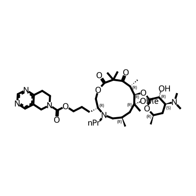 CCCN1C[C@H](C)C[C@@](C)(OC)[C@H](O[C@@H]2O[C@H](C)C[C@H](N(C)C)[C@H]2O)[C@@H](C)C(=O)C(C)(C)C(=O)OC[C@H]1CCCOC(=O)N1CCc2ncncc2C1